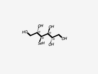 OC[C@H](O)[C@H](O)[C@@H]([SeH])[C@@H](O)CO